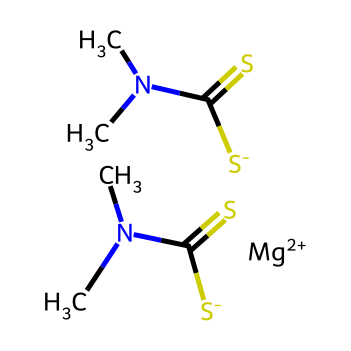 CN(C)C(=S)[S-].CN(C)C(=S)[S-].[Mg+2]